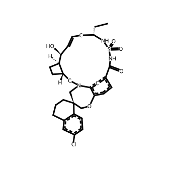 CC[C@H]1C/C=C/[C@H](O)[C@@H]2CC[C@H]2CN2C[C@@]3(CCCc4cc(Cl)ccc43)COc3ccc(cc32)C(=O)NS(=O)(=O)N1